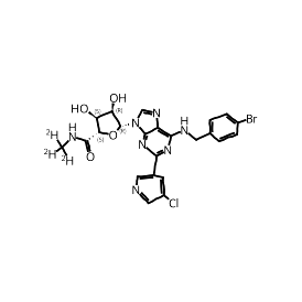 [2H]C([2H])([2H])NC(=O)[C@H]1O[C@@H](n2cnc3c(NCc4ccc(Br)cc4)nc(-c4cncc(Cl)c4)nc32)[C@H](O)[C@@H]1O